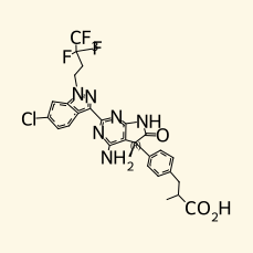 CC(Cc1ccc([C@@]2(C)C(=O)Nc3nc(-c4nn(CCC(F)(F)C(F)(F)F)c5cc(Cl)ccc45)nc(N)c32)cc1)C(=O)O